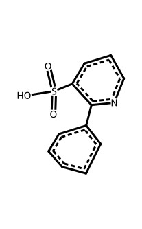 O=S(=O)(O)c1cccnc1-c1ccccc1